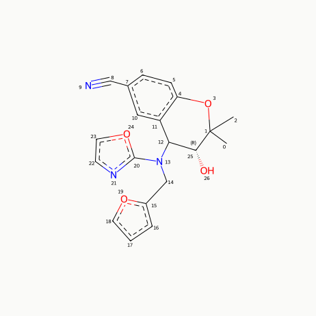 CC1(C)Oc2ccc(C#N)cc2C(N(Cc2ccco2)c2ncco2)[C@H]1O